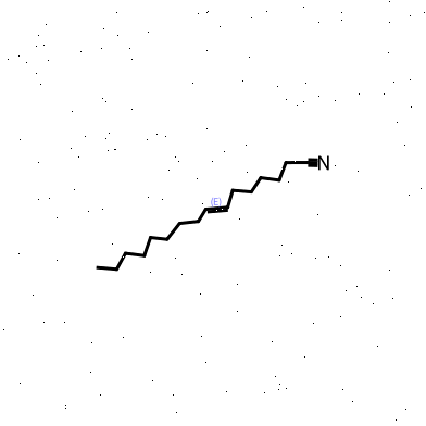 CCCCCCCC/C=C/CCCCCC#N